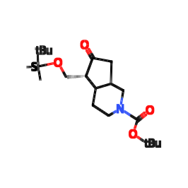 CC(C)(C)OC(=O)N1CCC2C(CC(=O)[C@H]2CO[Si](C)(C)C(C)(C)C)C1